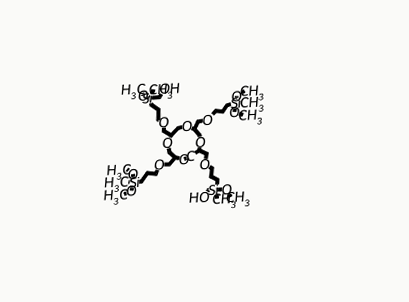 CO[Si](C)(CO)CCCOCC1COC(COCCC[Si](C)(OC)OC)COC(COCCC[Si](C)(CO)OC)COC(COCCC[Si](C)(OC)OC)CO1